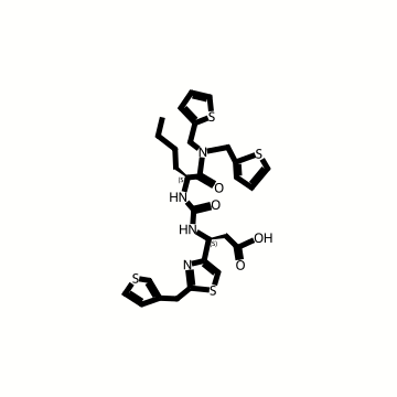 CCCC[C@H](NC(=O)N[C@@H](CC(=O)O)c1csc(Cc2ccsc2)n1)C(=O)N(Cc1cccs1)Cc1cccs1